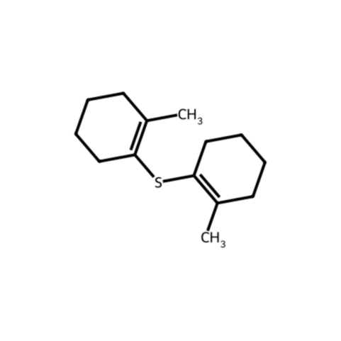 CC1=C(SC2=C(C)CCCC2)CCCC1